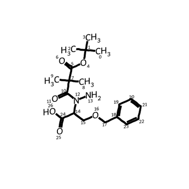 CC(C)(C)OC(=O)C(C)(C)C(=O)N(N)C(COCc1ccccc1)C(=O)O